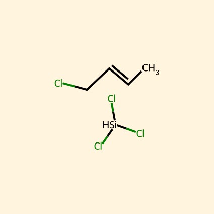 CC=CCCl.Cl[SiH](Cl)Cl